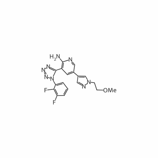 COCCn1cc(-c2cnc(N)c(-c3nnnn3-c3cccc(F)c3F)c2)cn1